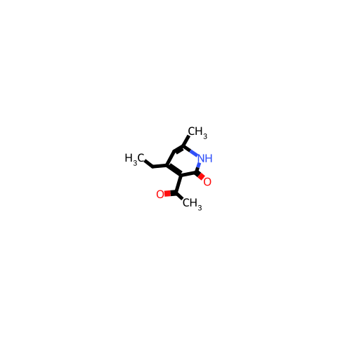 CCc1cc(C)[nH]c(=O)c1C(C)=O